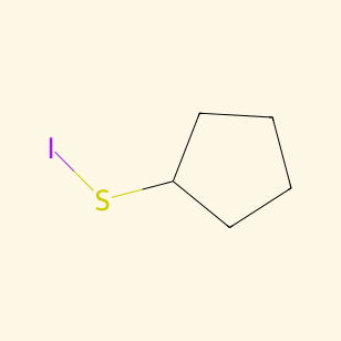 ISC1CCCC1